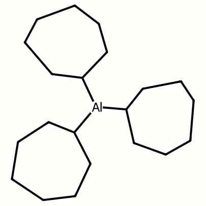 C1CCC[CH]([Al]([CH]2CCCCCC2)[CH]2CCCCCC2)CC1